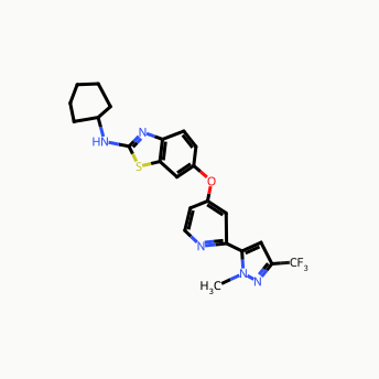 Cn1nc(C(F)(F)F)cc1-c1cc(Oc2ccc3nc(NC4CCCCC4)sc3c2)ccn1